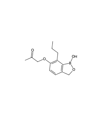 CCCc1c(OCC(C)=O)ccc2c1B(O)OC2